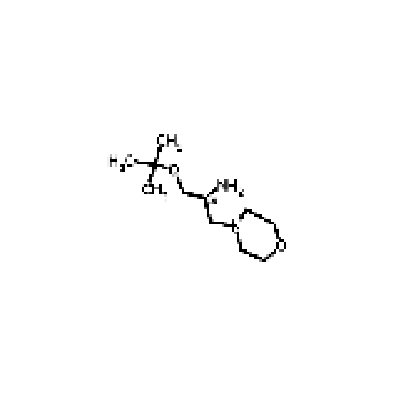 CC(C)(C)OC[C@@H](N)CN1CCOCC1